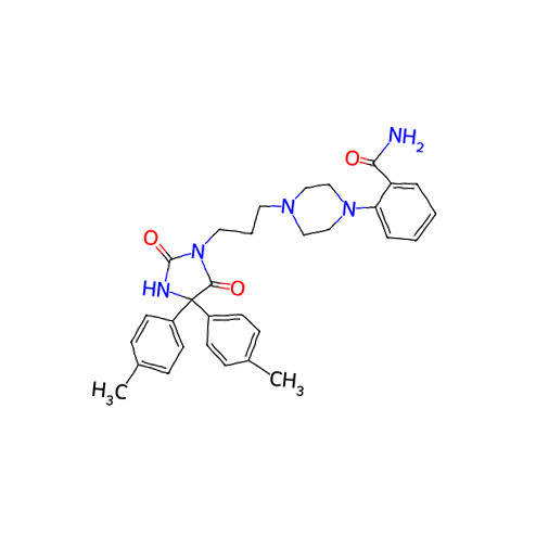 Cc1ccc(C2(c3ccc(C)cc3)NC(=O)N(CCCN3CCN(c4ccccc4C(N)=O)CC3)C2=O)cc1